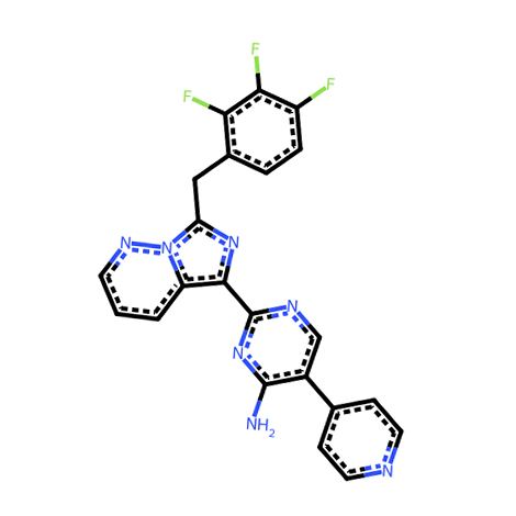 Nc1nc(-c2nc(Cc3ccc(F)c(F)c3F)n3ncccc23)ncc1-c1ccncc1